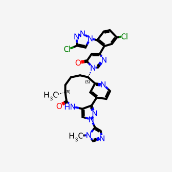 C[C@@H]1CCC[C@H](n2cnc(-c3cc(Cl)ccc3-n3cc(Cl)nn3)cc2=O)c2cc(ccn2)-c2nn(-c3cncn3C)cc2NC1=O